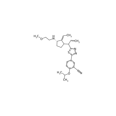 C=CC(c1nnc(-c2ccc(OC(C)C)c(C#N)c2)s1)C1CC[C@H](NCCOC)/C1=C/C